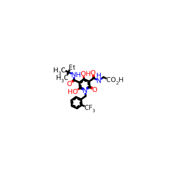 CCC(C)(C)NC(=O)c1c(O)c(C(=O)NCC(=O)O)c(=O)n(Cc2ccccc2C(F)(F)F)c1O